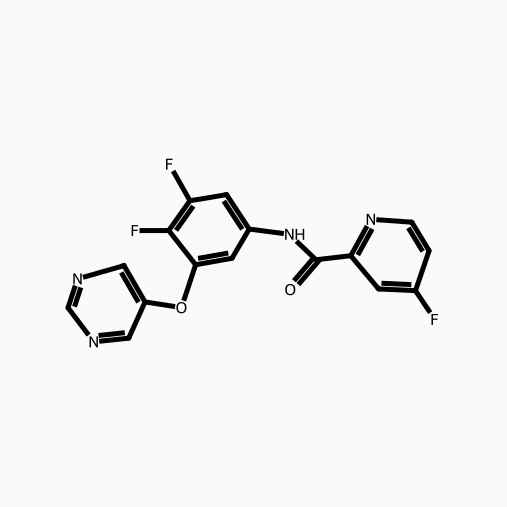 O=C(Nc1cc(F)c(F)c(Oc2cncnc2)c1)c1cc(F)ccn1